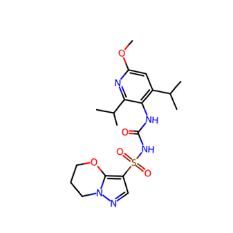 COc1cc(C(C)C)c(NC(=O)NS(=O)(=O)c2cnn3c2OCCC3)c(C(C)C)n1